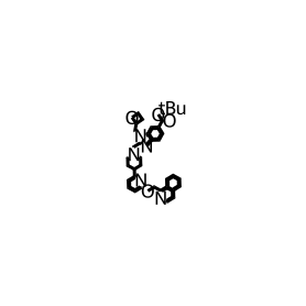 CC(C)(C)OC(=O)c1ccc2nc(CN3CCC(c4cccc(OCc5nccc6ccccc56)n4)CC3)n(CC3CCO3)c2c1